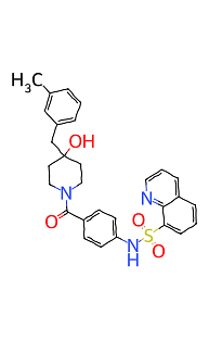 Cc1cccc(CC2(O)CCN(C(=O)c3ccc(NS(=O)(=O)c4cccc5cccnc45)cc3)CC2)c1